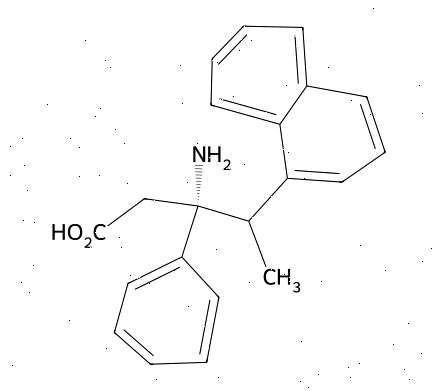 CC(c1cccc2ccccc12)[C@](N)(CC(=O)O)c1ccccc1